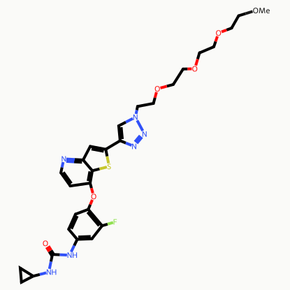 COCCOCCOCCOCCn1cc(-c2cc3nccc(Oc4ccc(NC(=O)NC5CC5)cc4F)c3s2)nn1